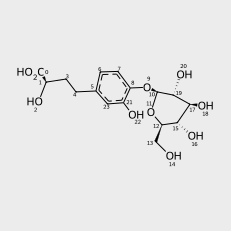 O=C(O)[C@H](O)CCc1ccc(O[C@@H]2O[C@H](CO)[C@@H](O)[C@H](O)[C@H]2O)c(O)c1